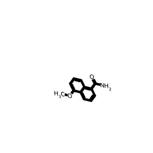 COc1cccc2c(C(N)=O)cccc12